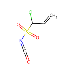 C=CC(Cl)S(=O)(=O)N=C=O